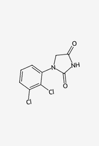 O=C1CN(c2cccc(Cl)c2Cl)C(=O)N1